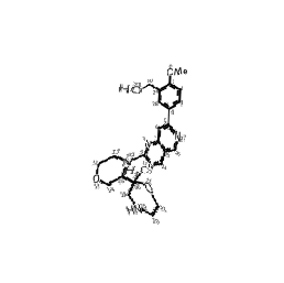 COc1ccc(-c2cc3nc(N4CCOCC4C4(C)CNCCO4)ncc3cn2)cc1CO